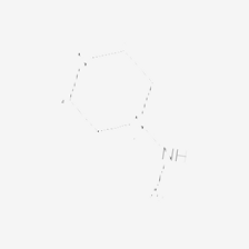 CC(=O)NN1CC[N]CC1